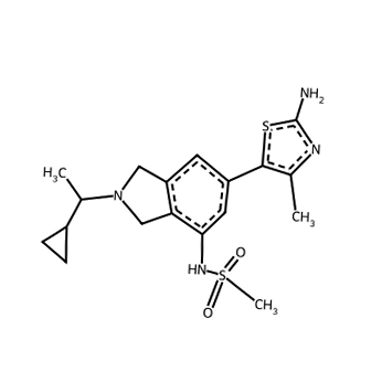 Cc1nc(N)sc1-c1cc2c(c(NS(C)(=O)=O)c1)CN(C(C)C1CC1)C2